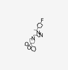 COC(=O)C1(c2ccccc2)CCN(Cc2cncn2C(C)c2ccc(F)cc2)CC1